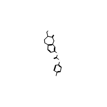 CCC1CCc2ccc(NC(=O)Nc3ccc(Cl)cc3)cc2CC1=O